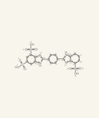 O=S(=O)(O)c1cc(S(=O)(=O)O)c2nc(-c3ccc(-c4nc5c(S(=O)(=O)O)cccc5[nH]4)cc3)[nH]c2c1